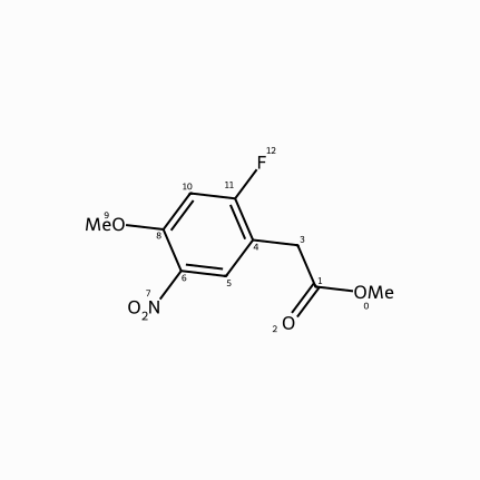 COC(=O)Cc1cc([N+](=O)[O-])c(OC)cc1F